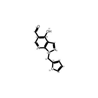 O=Cc1cnc2c(cnn2Cc2ccco2)c1O